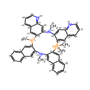 CC(C)P1c2cc3ccccc3cc2N(C)c2cc3ccccc3cc2[PH](C)(C(C)C)c2cc3cccnc3cc2N(C)c2cc3ncccc3cc21